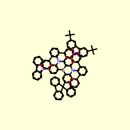 CC(C)(C)c1ccc2c(c1)c1cc(C(C)(C)C)ccc1n2-c1cc2c3c(c1)N(c1c(-c4ccccc4)cccc1-c1ccccc1)c1cc4c(cc1B3c1ccc(-n3c5ccccc5c5ccccc53)cc1N2c1c(-c2ccccc2)cccc1-c1ccccc1)C1(c2ccccc2-c2ccccc21)c1ccccc1-4